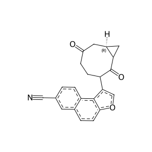 N#Cc1ccc2c(ccc3occ(C4CCC(=O)C[C@H]5CC5C4=O)c32)c1